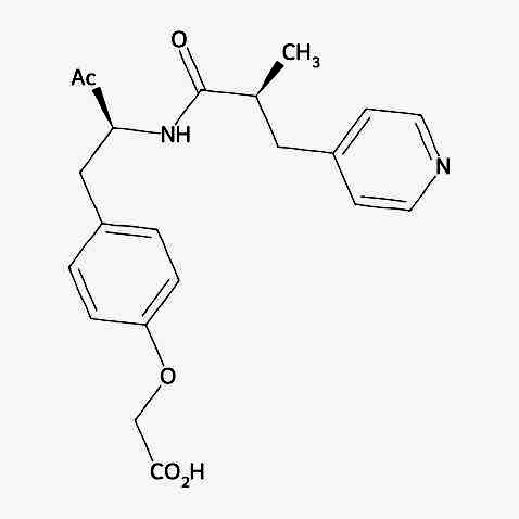 CC(=O)[C@H](Cc1ccc(OCC(=O)O)cc1)NC(=O)[C@@H](C)Cc1ccncc1